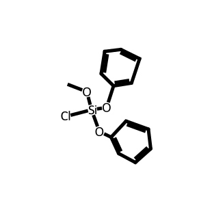 CO[Si](Cl)(Oc1ccccc1)Oc1ccccc1